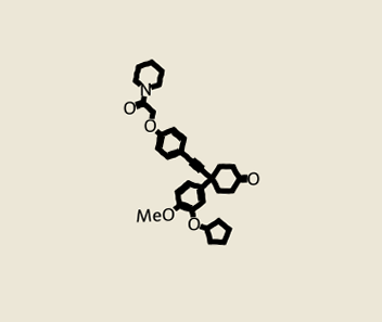 COc1ccc(C2(C#Cc3ccc(OCC(=O)N4CCCCC4)cc3)CCC(=O)CC2)cc1OC1CCCC1